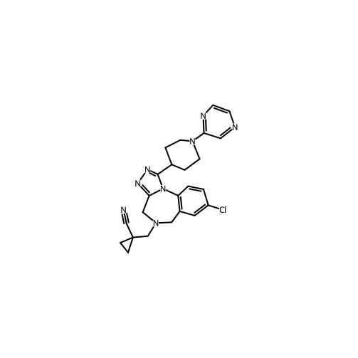 N#CC1(CN2Cc3cc(Cl)ccc3-n3c(nnc3C3CCN(c4cnccn4)CC3)C2)CC1